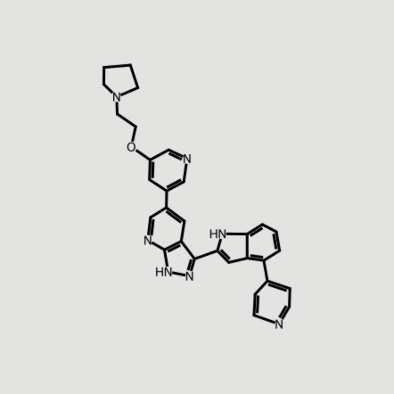 c1cc(-c2ccncc2)c2cc(-c3n[nH]c4ncc(-c5cncc(OCCN6CCCC6)c5)cc34)[nH]c2c1